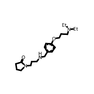 CCN(CC)CCCOc1ccc(CNCCCN2CCCC2=O)cc1